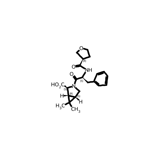 CC1(C)[C@@H]2[C@@H](C(=O)O)N(C(=O)[C@H](Cc3ccccc3)NC(=O)[C@@H]3CCOC3)C[C@@H]21